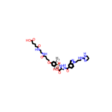 Cc1cc(OCCCC(=O)NCCNC(=O)CCCC(=O)O)cc(C)c1S(=O)(=O)N[C@@H](CNC(=O)c1ccc2c(cnn2CCCNC2=NCCCN2)c1)C(=O)O